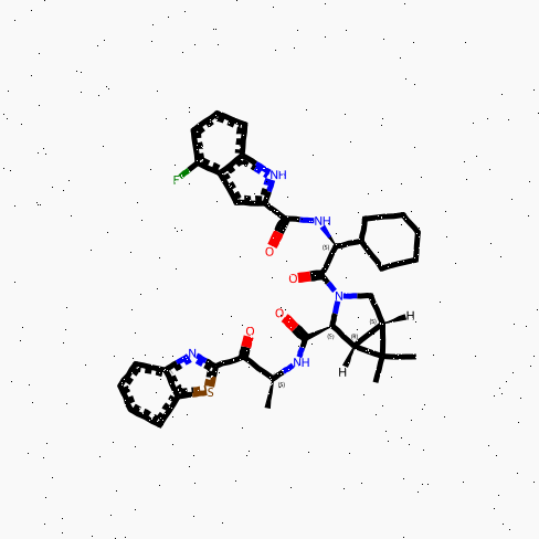 C[C@H](NC(=O)[C@@H]1[C@@H]2[C@H](CN1C(=O)[C@@H](NC(=O)c1cc3c(F)cccc3[nH]1)C1CCCCC1)C2(C)C)C(=O)c1nc2ccccc2s1